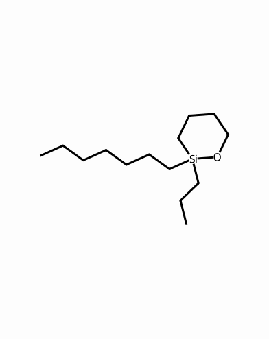 CCCCCCC[Si]1(CCC)CCCCO1